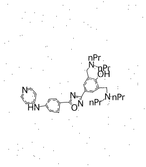 CCCN(CCC)Cc1cc(-c2noc(-c3ccc(Nc4ccncc4)cc3)n2)cc(CN(CCC)CCC)c1O